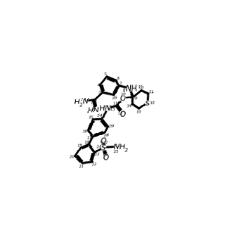 N=C(N)c1cccc(NC2(OC(=O)Nc3ccc(-c4ccccc4S(N)(=O)=O)cc3)CCSCC2)c1